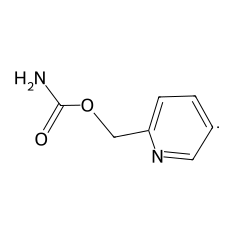 NC(=O)OCc1cc[c]cn1